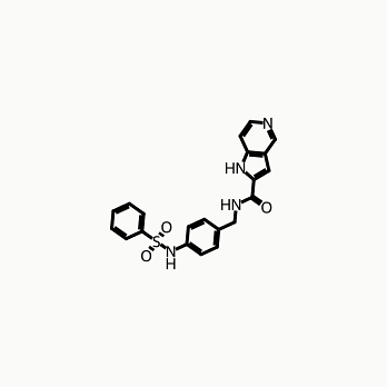 O=C(NCc1ccc(NS(=O)(=O)c2ccccc2)cc1)c1cc2cnccc2[nH]1